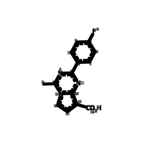 Cc1nc(-c2ccc(F)cc2)nc2c(C(=O)O)ccn12